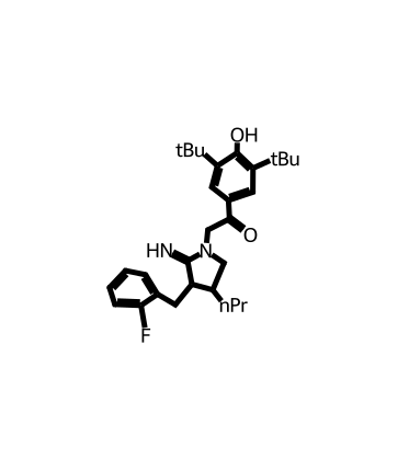 CCCC1CN(CC(=O)c2cc(C(C)(C)C)c(O)c(C(C)(C)C)c2)C(=N)C1Cc1ccccc1F